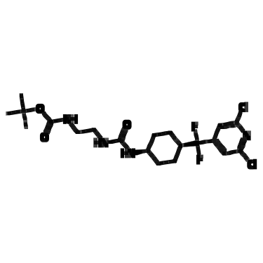 CC(C)(C)OC(=O)NCCNC(=O)N[C@H]1CC[C@@H](C(F)(F)c2cc(Cl)nc(Cl)c2)CC1